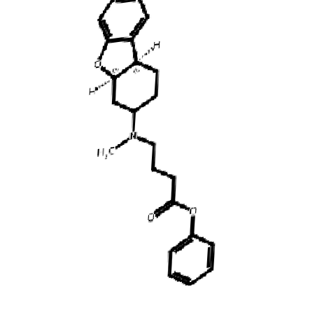 CN(CCCC(=O)Oc1ccccc1)C1CC[C@@H]2c3ccccc3O[C@@H]2C1